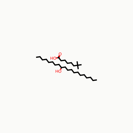 CC(C)(C)CCCCCC(=O)O.CCCCCCCCCCCC(O)CCCCCCCC